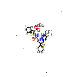 CC(C)(C)OC(=O)c1c(NC(=O)NCc2c(-c3ccc(C(F)(F)F)nc3)sc3c2CCCC3)sc2c1CCCC2